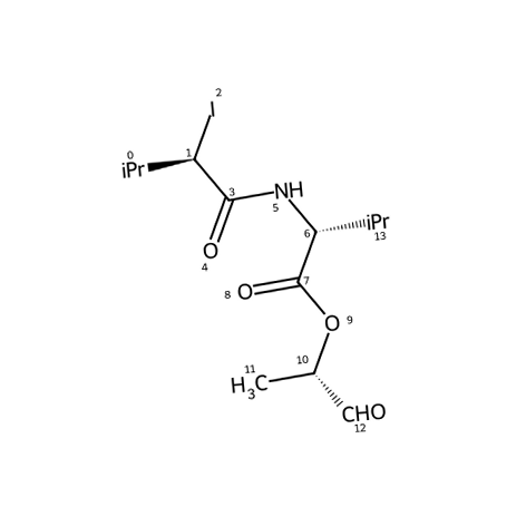 CC(C)[C@@H](I)C(=O)N[C@@H](C(=O)O[C@@H](C)C=O)C(C)C